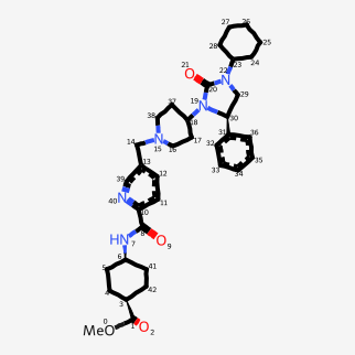 COC(=O)[C@H]1CC[C@@H](NC(=O)c2ccc(CN3CCC(N4C(=O)N(C5CCCCC5)C[C@H]4c4ccccc4)CC3)cn2)CC1